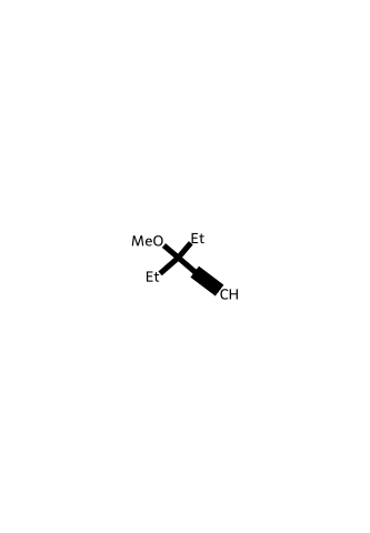 C#CC(CC)(CC)OC